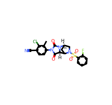 Cc1c(N2C(=O)[C@@H]3C4C[C@H](CN4S(=O)(=O)c4ccccc4F)N3C2=O)ccc(C#N)c1Cl